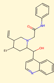 C=CC1CN(CC(=O)Nc2ccccc2)C(C(O)c2ccnc3ccccc23)CC1CC